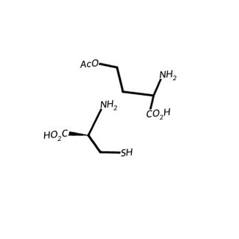 CC(=O)OCCC(N)C(=O)O.N[C@@H](CS)C(=O)O